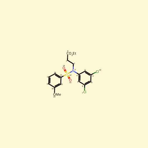 CCOC(=O)CCN(c1cc(Cl)cc(Cl)c1)S(=O)(=O)c1cccc(OC)c1